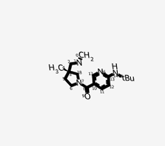 C=NC[C@@]1(C)CCN(C(=O)c2ccc(NC(C)(C)C)nc2)C1